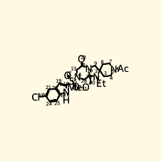 CCN1C2(CCN(C(C)=O)CC2)CN2C(=O)CN(S(=O)(=O)c3cc4cc(Cl)ccc4[nH]3)CC21COC